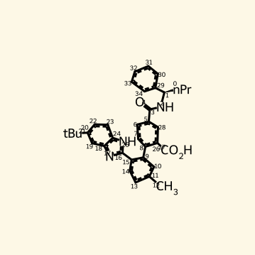 CCC[C@@H](NC(=O)c1ccc(-c2cc(C)ccc2-c2nc3cc(C(C)(C)C)ccc3[nH]2)c(C(=O)O)c1)c1ccccc1